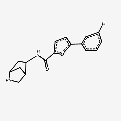 O=C(NC1CC2CC1CN2)c1ccc(-c2cccc(Cl)c2)o1